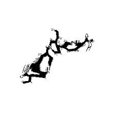 CCc1cc2ncc(CN3CC=C(c4ccc(C(=O)NC)nc4)C(CC)C3)cc2[nH]c1=O